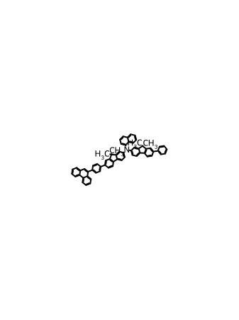 CC1(C)c2cc(-c3ccccc3)ccc2-c2ccc(N(c3ccc4c(c3)C(C)(C)c3cc(-c5ccc(-c6cc7ccccc7c7ccccc67)cc5)ccc3-4)c3cccc4ccccc34)cc21